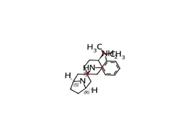 CC(C)[C@H]1CC[C@H](N2[C@@H]3CC[C@H]2C[C@@H](Nc2ccccc2N)C3)CC1